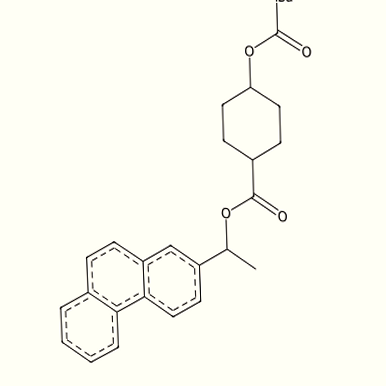 CCC(C)C(=O)OC1CCC(C(=O)OC(C)c2ccc3c(ccc4ccccc43)c2)CC1